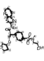 CN(CCO)S(=O)(=O)c1ccc(/C(=N\O[C@@H]2CCOC2)C(=O)Nc2nc3cccnc3s2)cc1